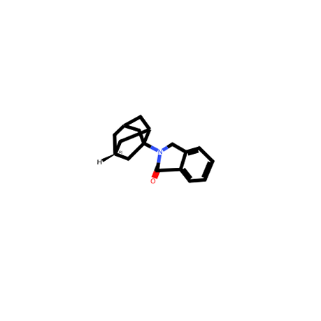 O=C1c2ccccc2CN1C12CC3CC1C[C@@H](C3)C2